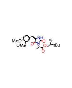 CCCCC(CC)COC(=O)C(C)N1C(=O)NC(=Cc2ccc(OC)c(OC)c2)C1=O